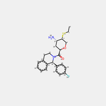 CCS[C@H]1CO[C@@H](C(=O)N2CCc3ccccc3[C@@H]2c2ccc(F)cc2)C[C@@H]1N